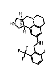 Fc1cccc(C(F)(F)F)c1CNc1cc2c3c(c1)[C@@H]1CNC[C@@H]1CN3CCC2